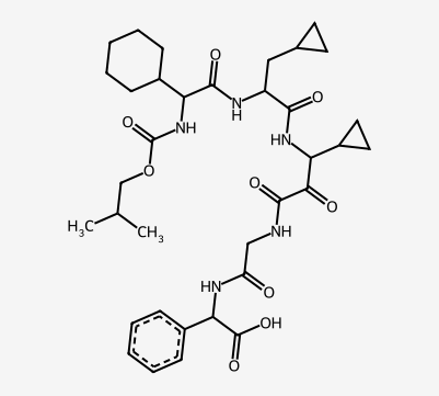 CC(C)COC(=O)NC(C(=O)NC(CC1CC1)C(=O)NC(C(=O)C(=O)NCC(=O)NC(C(=O)O)c1ccccc1)C1CC1)C1CCCCC1